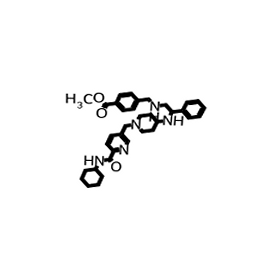 COC(=O)c1ccc(CNCC(NC2CCN(Cc3ccc(C(=O)NC4CCCCC4)nc3)CC2)c2ccccc2)cc1